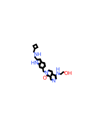 O=c1c2cncc(NCCO)c2ccn1Cc1ccc2cc(CNCC3CCC3)[nH]c2c1